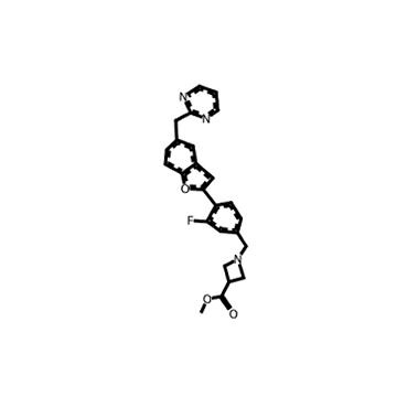 COC(=O)C1CN(Cc2ccc(-c3cc4cc(Cc5ncccn5)ccc4o3)c(F)c2)C1